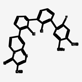 COc1cc(-c2cccc(-c3cccc(-c4ccn5c(=O)c(C=O)cnc5c4)c3Cl)c2Cl)c(F)cc1C=O